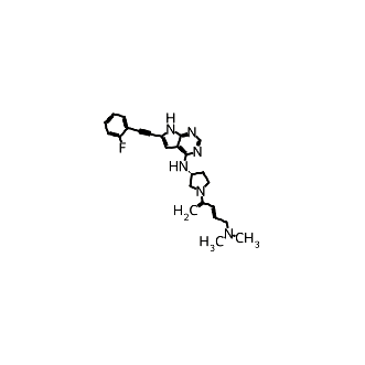 C=C(/C=C/CN(C)C)N1CC[C@@H](Nc2ncnc3[nH]c(C#Cc4ccccc4F)cc23)C1